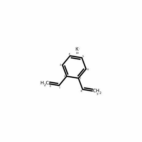 C=Cc1ccccc1C=C.[K]